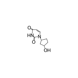 O=c1ccn(C2CCC(O)C2)c(=O)[nH]1